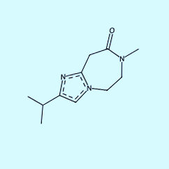 CC(C)c1cn2c(n1)CC(=O)N(C)CC2